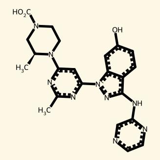 Cc1nc(N2CCN(C(=O)O)C[C@@H]2C)cc(-n2nc(Nc3cnccn3)c3ccc(O)cc32)n1